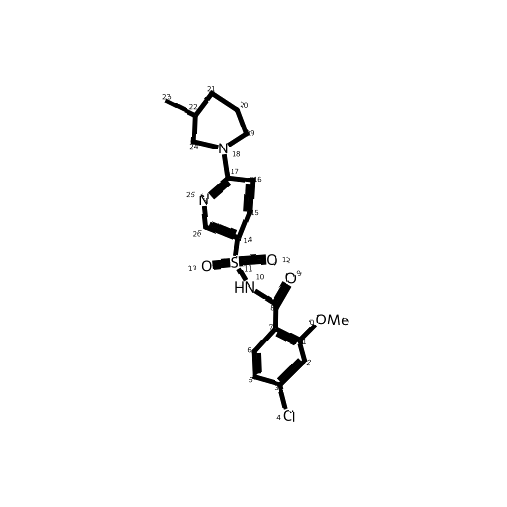 COc1cc(Cl)ccc1C(=O)NS(=O)(=O)c1ccc(N2CCCC(C)C2)nc1